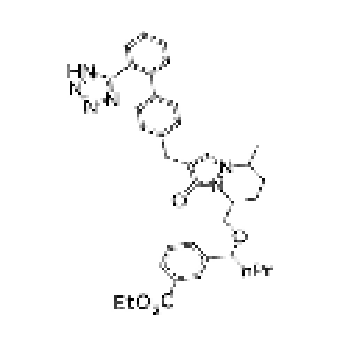 CCCC(OCC1CCC(C)n2cc(Cc3ccc(-c4ccccc4-c4nnn[nH]4)cc3)c(=O)n21)c1cccc(C(=O)OCC)c1